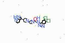 O=C(CNc1ncnc2cc(Cl)c(Cl)cc12)N1CCC(N2CCC(c3c[nH]c4ncccc34)CC2)C1